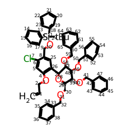 C=CCOc1cc(Cl)c(CO[Si](c2ccccc2)(c2ccccc2)C(C)(C)C)cc1C1O[C@H](COCc2ccccc2)[C@@H](OCc2ccccc2)[C@H](OCc2ccccc2)[C@H]1OCc1ccccc1